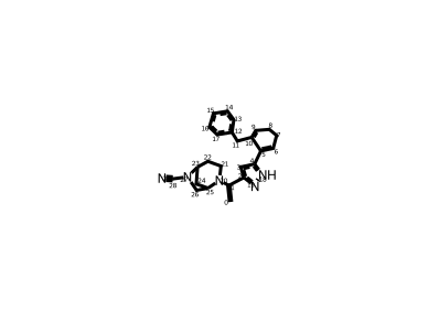 C=C(c1cc(C2=CCCC=C2Cc2ccccc2)[nH]n1)N1CCC2CC1CN2C#N